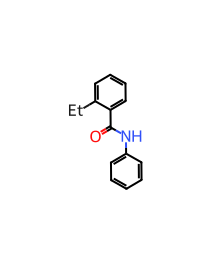 CCc1ccccc1C(=O)Nc1ccccc1